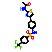 CC(=O)Nc1nc(-c2ccc(NS(=O)(=O)c3ccc(C(F)(F)F)cc3)cc2)cs1